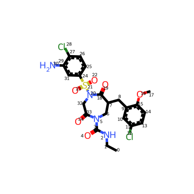 CCNC(=O)N1CC(Cc2cc(Cl)ccc2OC)C(=O)N(S(=O)(=O)c2ccc(Cl)c(N)c2)CC1=O